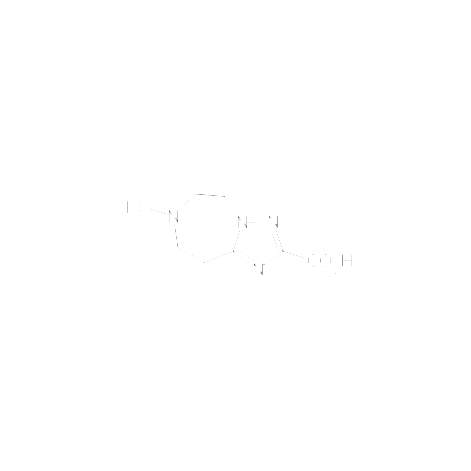 CN1CCc2nc(C(=O)O)nn2CC1